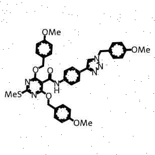 COc1ccc(COc2nc(SC)nc(OCc3ccc(OC)cc3)c2C(=O)Nc2ccc(-c3cn(Cc4ccc(OC)cc4)nn3)cc2)cc1